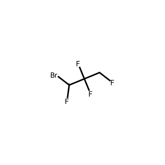 FCC(F)(F)[C](F)Br